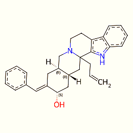 C=CCC12C[C@@H]3C[C@H](O)C(=Cc4ccccc4)C[C@H]3CN1CCc1c2[nH]c2ccccc12